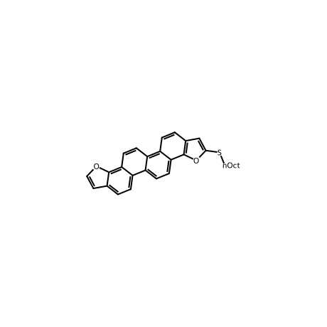 CCCCCCCCSc1cc2ccc3c4ccc5c(ccc6ccoc65)c4ccc3c2o1